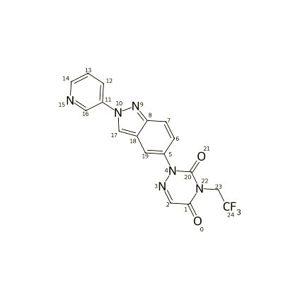 O=c1cnn(-c2ccc3nn(-c4cccnc4)cc3c2)c(=O)n1CC(F)(F)F